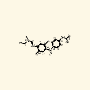 CCN(C)C=Nc1cc(C)c(N(C)c2ccc(SC(F)F)cc2)cc1C